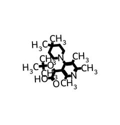 Cc1nc(C)c(C(OC(C)(C)C)C(=O)O)c(N2CCC(C)(C)CC2)c1C